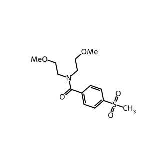 COCCN(CCOC)C(=O)c1ccc(S(C)(=O)=O)cc1